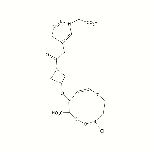 O=C(O)CN1C=C(CC(=O)N2CC(OC3=C(\C(=O)O)COB(O)CCC/C=C\3)C2)CN=N1